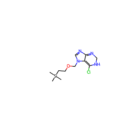 C[Si](C)(C)CCOCn1cnc2c1=C(Cl)NCN=2